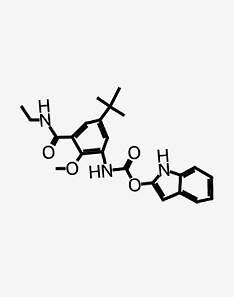 CCNC(=O)c1cc(C(C)(C)C)cc(NC(=O)Oc2cc3ccccc3[nH]2)c1OC